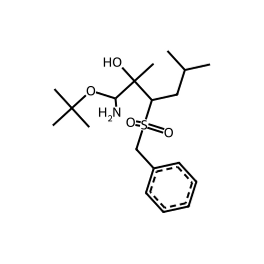 CC(C)CC(C(C)(O)C(N)OC(C)(C)C)S(=O)(=O)Cc1ccccc1